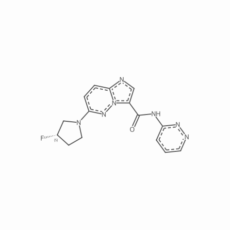 O=C(Nc1cccnn1)c1cnc2ccc(N3CC[C@H](F)C3)nn12